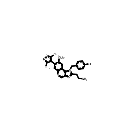 COc1cc2c(cc1-c1c(C)noc1C)ncc1nc(CCN)n(Cc3ccc(Cl)cc3)c12